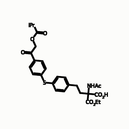 CCOC(=O)C(CCc1ccc(Sc2ccc(C(=O)COC(=O)C(C)C)cc2)cc1)(NC(C)=O)C(=O)O